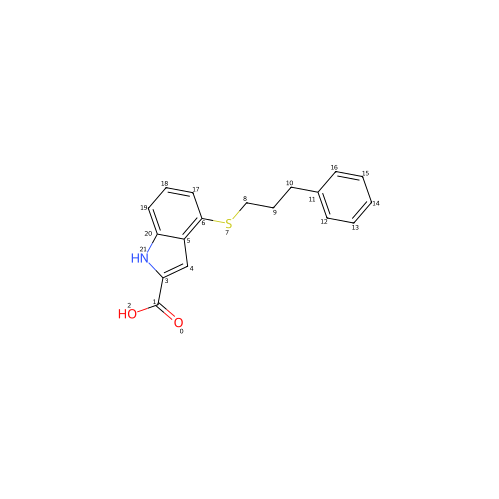 O=C(O)c1cc2c(SCCCc3ccccc3)cccc2[nH]1